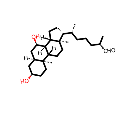 C[C@H](CCC[C@@H](C)[C]=O)[C@H]1CC[C@H]2[C@@H]3[C@H](O)C[C@@H]4C[C@H](O)CC[C@]4(C)[C@H]3CC[C@]12C